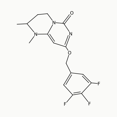 CC1CCn2c(cc(OCc3cc(F)c(F)c(F)c3)nc2=O)N1C